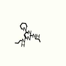 CCCNc1cc(N2CCCCC2)nc(NCCC)n1